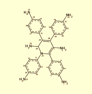 NC1=C(c2ccc(N)cc2)N(c2ccc(N)cc2)C(N)C(c2ccc(N)cc2)=C1c1ccc(N)cc1